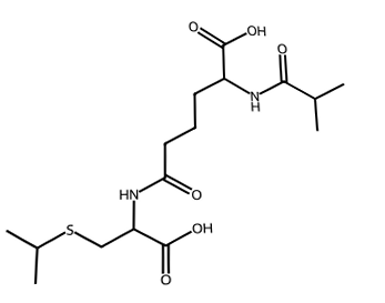 CC(C)SCC(NC(=O)CCCC(NC(=O)C(C)C)C(=O)O)C(=O)O